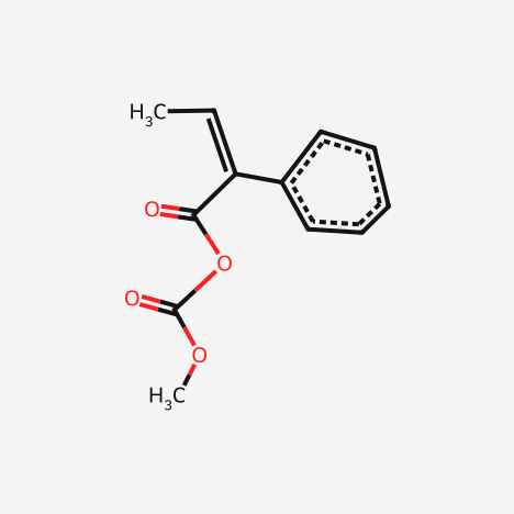 CC=C(C(=O)OC(=O)OC)c1ccccc1